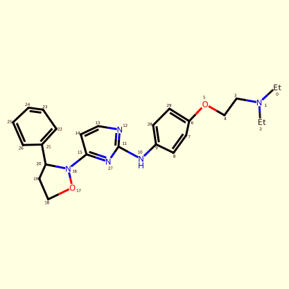 CCN(CC)CCOc1ccc(Nc2nccc(N3OCCC3c3ccccc3)n2)cc1